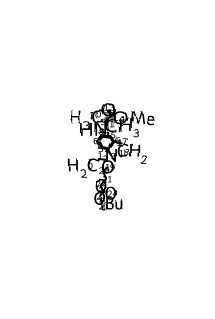 C=C/C(=N\c1ccc(NC(C)(C)C(=O)OC)cc1C=C)OCCOC(=O)OC(C)(C)C